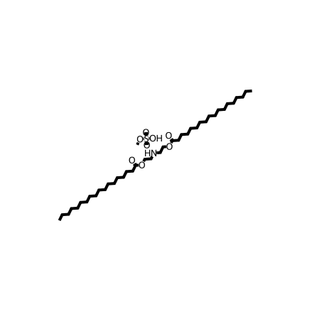 CCCCCCCCCCCCCCCCCC(=O)OCCNCCOC(=O)CCCCCCCCCCCCCCCCC.COS(=O)(=O)O